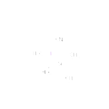 CI(C#N)[Si](C)(C)C